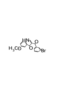 COc1ccc2[nH]cc(C(=O)c3cccc(Br)c3)c(=O)c2c1